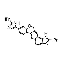 CC(C)c1ncc(-c2ccc3c(c2)OCc2cc4c(ccc5nc(C(C)C)[nH]c54)cc2-3)[nH]1